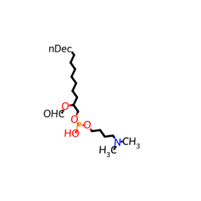 CCCCCCCCCCCCCCCCCC(COP(O)OCCCCN(C)C)OC=O